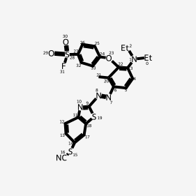 CCN(CC)c1ccc(N=Nc2nc3ccc(SC#N)cc3s2)c(C)c1Oc1ccc(S(=O)(=O)F)cc1